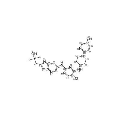 CC(C)(O)Cc1cn2ncc(Nc3ncc(Cl)c(NC4CCN(c5ccc(C#N)cn5)CC4)n3)cc2n1